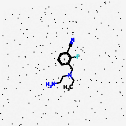 CCN(CCN)Cc1cccc(C#N)c1F